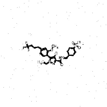 CCn1nc(C(=O)NCC2CCC(S(C)(=O)=O)CC2)c(Cl)c1-c1ccc(CCCC(F)(F)F)cc1OC